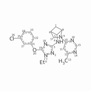 CCn1nc(NC2C3CC2N(c2cc(C)ncn2)C3)nc1Oc1cccc(Cl)c1